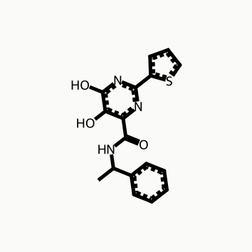 CC(NC(=O)c1nc(-c2cccs2)nc(O)c1O)c1ccccc1